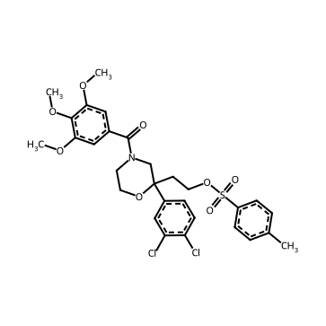 COc1cc(C(=O)N2CCOC(CCOS(=O)(=O)c3ccc(C)cc3)(c3ccc(Cl)c(Cl)c3)C2)cc(OC)c1OC